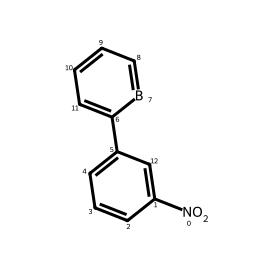 O=[N+]([O-])c1cccc(-c2bcccc2)c1